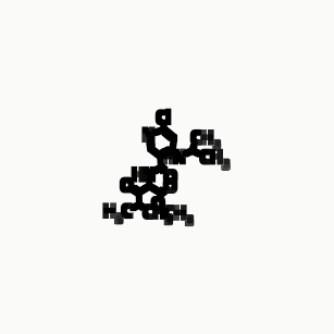 COC(=O)C(NC(=O)c1cnc(Cl)cc1NC(C)C)C(=O)C(C)C